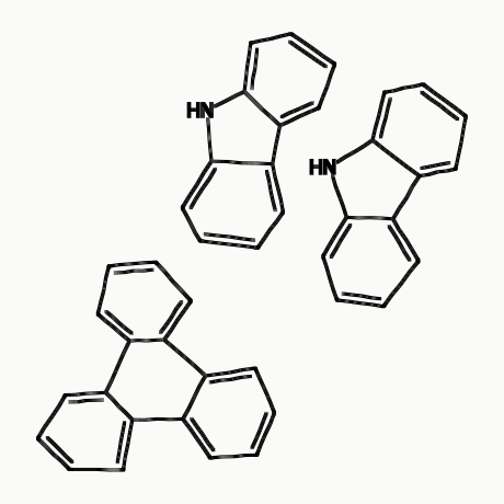 c1ccc2c(c1)[nH]c1ccccc12.c1ccc2c(c1)[nH]c1ccccc12.c1ccc2c(c1)c1ccccc1c1ccccc21